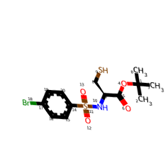 CC(C)(C)OC(=O)[C@H](CS)NS(=O)(=O)c1ccc(Br)cc1